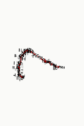 COc1c(OCCOCCOCCOCCOCCOCCNC(=O)CCNC(=O)c2nc(NC(=O)c3cc(NC(=O)CCNC(=O)c4nc(NC(=O)CCCNC(=O)c5cc(NC(=O)c6nc(NC(=O)CCNC(=O)c7cc(NC(=O)c8nccn8C)cn7C)cn6C)cn5C)cn4C)cn3C)cn2C)cccc1C(=O)N1CCN(C(=O)COc2cccc(OCCNC(=O)CNC(=O)c3ccc(C(C)(C)C)cc3)c2)CC1